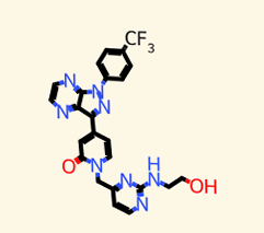 O=c1cc(-c2nn(-c3ccc(C(F)(F)F)cc3)c3nccnc23)ccn1Cc1ccnc(NCCO)n1